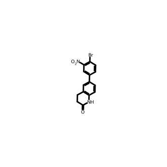 O=C1CCc2cc(-c3ccc(Br)c([N+](=O)[O-])c3)ccc2N1